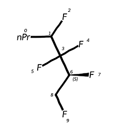 [CH2]CCC(F)C(F)(F)[C@@H](F)CF